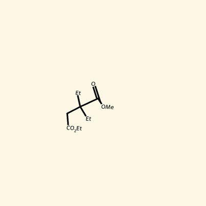 CCOC(=O)CC(CC)(CC)C(=O)OC